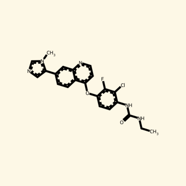 CCNC(=O)Nc1ccc(Oc2ccnc3cc(-c4cncn4C)ccc23)c(F)c1Cl